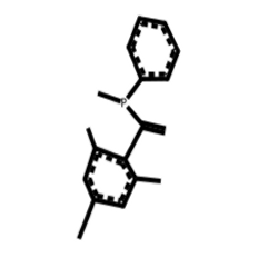 C=C(c1c(C)cc(C)cc1C)P(C)c1ccccc1